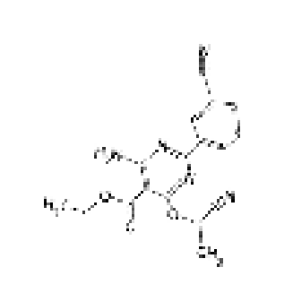 CCOC(=O)c1c(N)nc(-c2cccc(C#N)c2)nc1OC(C)C#N